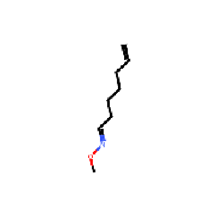 [CH]=CCCCCC=NOC